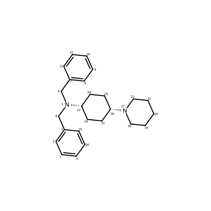 c1ccc(CN(Cc2ccccc2)[C@H]2CC[C@@H](N3CCCCC3)CC2)cc1